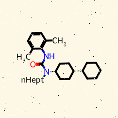 CCCCCCCN(C(=O)Nc1c(C)cccc1C)[C@H]1CC[C@@H](C2CCCCC2)CC1